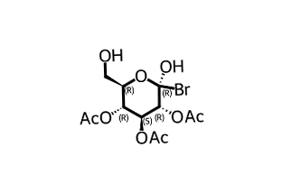 CC(=O)O[C@H]1[C@H](OC(C)=O)[C@@H](CO)O[C@@](O)(Br)[C@@H]1OC(C)=O